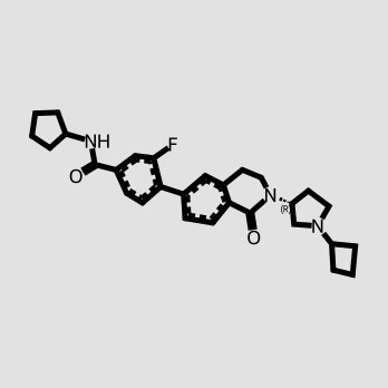 O=C(NC1CCCC1)c1ccc(-c2ccc3c(c2)CCN([C@@H]2CCN(C4CCC4)C2)C3=O)c(F)c1